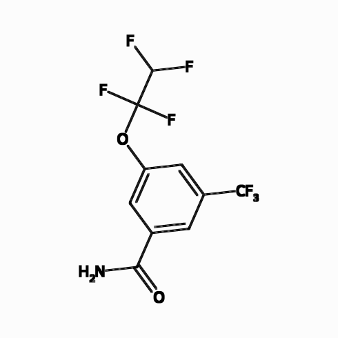 NC(=O)c1cc(OC(F)(F)C(F)F)cc(C(F)(F)F)c1